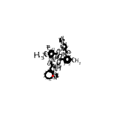 Cc1ccc(C(=O)OOC(=O)c2cc(F)c(C)cc2NC(=O)C2CC3(CCCCCCCCC3)C(n3ccnc3)NN2)c(NC(=O)c2ccc(-n3ccnc3)nn2)c1